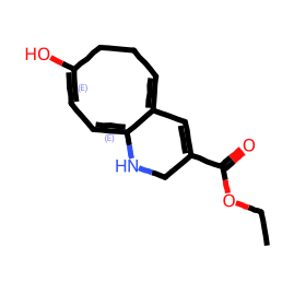 CCOC(=O)C1=CC2=CCC/C(O)=C\C=C/2NC1